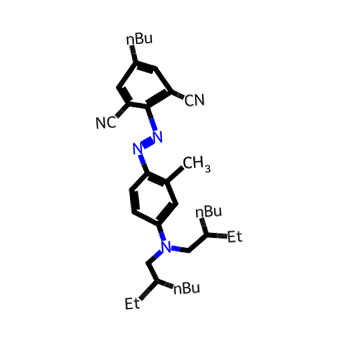 CCCCc1cc(C#N)c(N=Nc2ccc(N(CC(CC)CCCC)CC(CC)CCCC)cc2C)c(C#N)c1